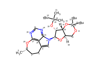 C[C@H]1CCc2cn([C@@H]3O[C@@H]4CO[Si](C(C)(C)C)(C(C)(C)C)O[C@H]4[C@H]3O[Si](C)(C)C(C)(C)C)c3ncnc(c23)O1